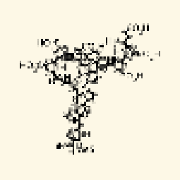 CSC[C@H](NC(=O)CNC(=O)[C@H](CC(C)C)NC(=O)[C@@H]1CCCN1C(=O)COCCNC(=O)[C@@H](CCC(=O)O)NC(=O)[C@@H](CCC(=O)O)NC(=O)[C@@H](CCC(=O)O)NC(=O)[C@@H](CCC(=O)O)NC(=O)[C@@H](CCC(=O)O)NC(=O)[C@@H](CCC(=O)O)NC(=O)[C@@H](CCC(=O)O)NC(=O)[C@@H](CCC(=O)O)NC(=O)[C@H](N)CCC(=O)O)C(=O)NC(C)C